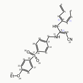 C=C/C=C(\C=C/C)N/C(=N/C#N)NCc1ccc(S(=O)(=O)c2ccc(OCC)cc2)cc1